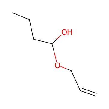 C=CCOC(O)CCC